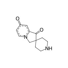 O=C1c2cc(=O)ccn2CC12CCNCC2